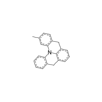 Cc1ccc2c(c1)N1c3ccccc3Cc3cccc(c31)C2